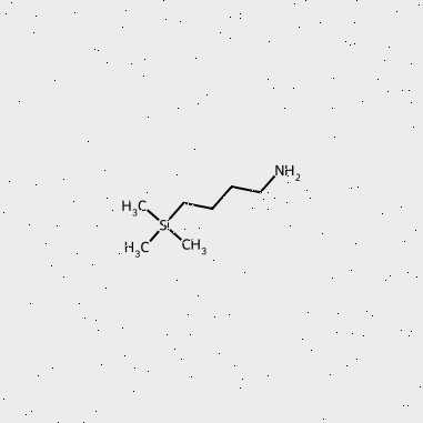 C[Si](C)(C)CCCCN